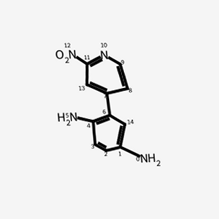 Nc1ccc(N)c(-c2ccnc([N+](=O)[O-])c2)c1